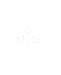 Clc1ccc2c(c1)-c1ccccc1-c1ccccc1N2